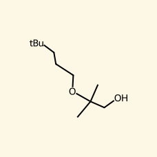 CC(C)(C)CCCOC(C)(C)CO